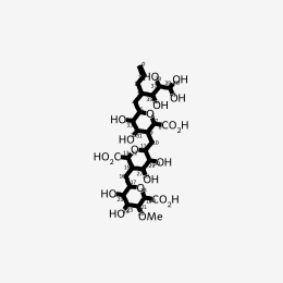 C=CCC(CC1OC(C(=O)O)C(CC2OC(C(=O)O)C(CC3OC(C(=O)O)C(OC)C(O)C3O)C(O)C2O)C(O)C1O)C(O)C(O)C(O)O